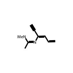 C#CC(=C/C=C)/N=C(/C)NC